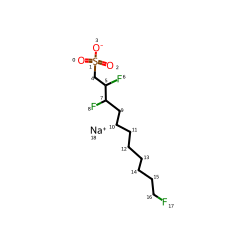 O=S(=O)([O-])CC(F)C(F)CCCCCCCCF.[Na+]